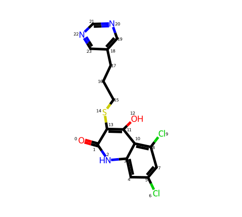 O=c1[nH]c2cc(Cl)cc(Cl)c2c(O)c1SCCCc1cncnc1